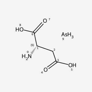 N[C@@H](CC(=O)O)C(=O)O.[AsH3]